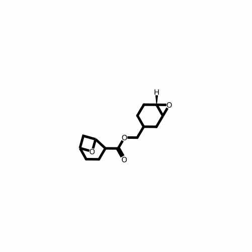 O=C(OCC1CC[C@@H]2OC2C1)C1CCC2CC1O2